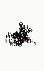 C=CC(C(=O)O)C1=C(C(C=C)C(=O)O)C(N(C)C(=O)/C(=N\OC)c2csc(NC=O)n2)(N(C)C(=O)/C(=N\OC)c2csc(NC=O)n2)N2CCC(=O)N12